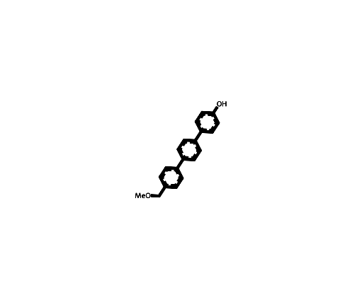 COCc1ccc(-c2ccc(-c3ccc(O)cc3)cc2)cc1